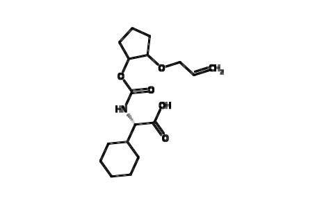 C=CCOC1CCCC1OC(=O)N[C@H](C(=O)O)C1CCCCC1